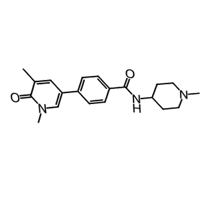 Cc1cc(-c2ccc(C(=O)NC3CCN(C)CC3)cc2)cn(C)c1=O